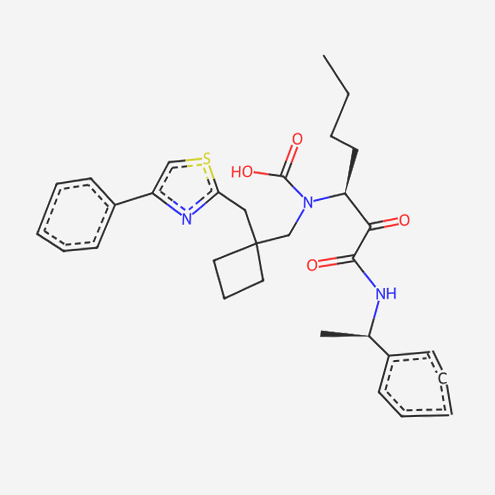 CCCC[C@@H](C(=O)C(=O)N[C@H](C)c1ccccc1)N(CC1(Cc2nc(-c3ccccc3)cs2)CCC1)C(=O)O